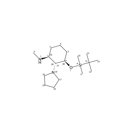 CN[C@H]1CCC[C@@H](O[Si](C)(C)C(C)(C)C)[C@@H]1N1CCCC1